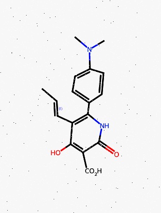 C/C=C/c1c(-c2ccc(N(C)C)cc2)[nH]c(=O)c(C(=O)O)c1O